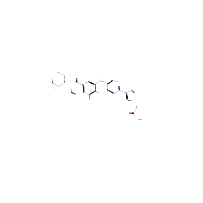 Cc1c(Cc2ccc(-c3cnn(CC(=O)N(C)C)c3)nc2)cc2c(=O)n([C@H]3CCOC[C@@H]3O)cnc2c1C